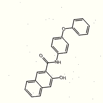 O=C(Nc1ccc(Oc2ccccc2)cc1)c1cc2ccccc2cc1O